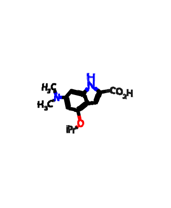 CC(C)Oc1cc(N(C)C)cc2[nH]c(C(=O)O)cc12